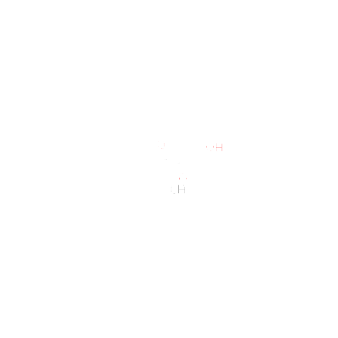 CCC(C(=O)C(=O)C=CO)=C1CCCCC1